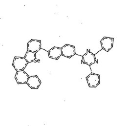 c1ccc(-c2nc(-c3ccccc3)nc(-c3ccc4cc(-c5cccc6c5[se]c5c6ccc6ccc7ccccc7c65)ccc4c3)n2)cc1